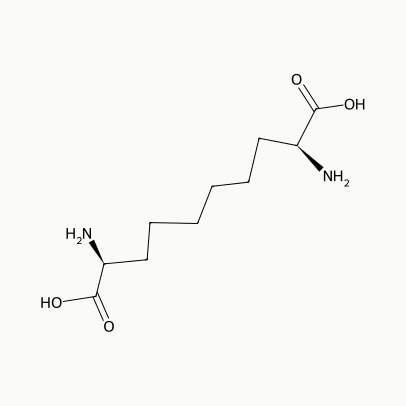 N[C@@H](CCCCCC[C@H](N)C(=O)O)C(=O)O